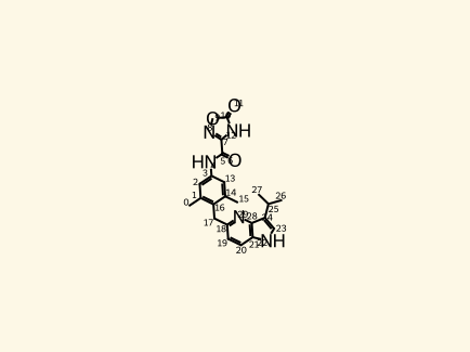 Cc1cc(NC(=O)c2noc(=O)[nH]2)cc(C)c1Cc1ccc2[nH]cc(C(C)C)c2n1